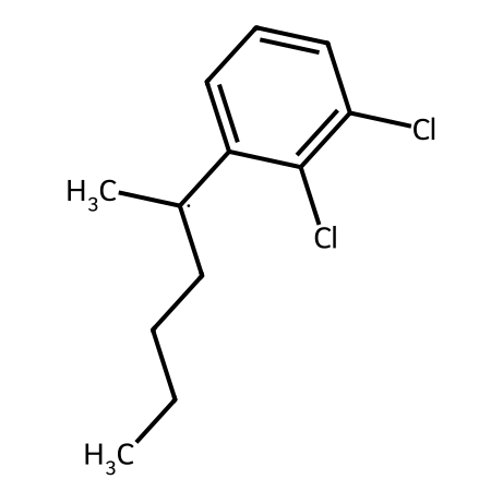 CCCC[C](C)c1cccc(Cl)c1Cl